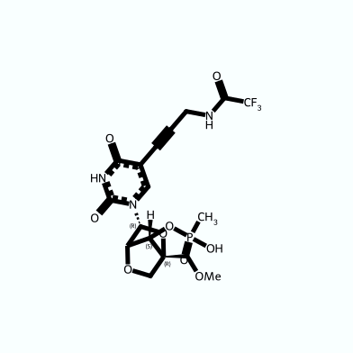 COC[C@]12COC([C@H](n3cc(C#CCNC(=O)C(F)(F)F)c(=O)[nH]c3=O)O1)[C@@H]2OP(C)(=O)O